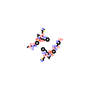 CC(C)CN(CC(O)C(Cc1ccccc1)NC(=O)OCc1cncs1)S(=O)(=O)c1ccc2nc(NC(=O)c3ccc(O)nc3)oc2c1.CCOC(=O)Nc1nc2ccc(S(=O)(=O)N(CC(C)C)CC(O)C(Cc3ccccc3)NC(=O)OCc3cncs3)cc2o1